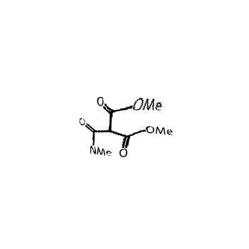 CNC(=O)C(C(=O)OC)C(=O)OC